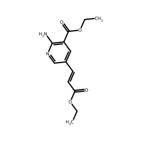 CCOC(=O)/C=C/c1cnc(N)c(C(=O)OCC)c1